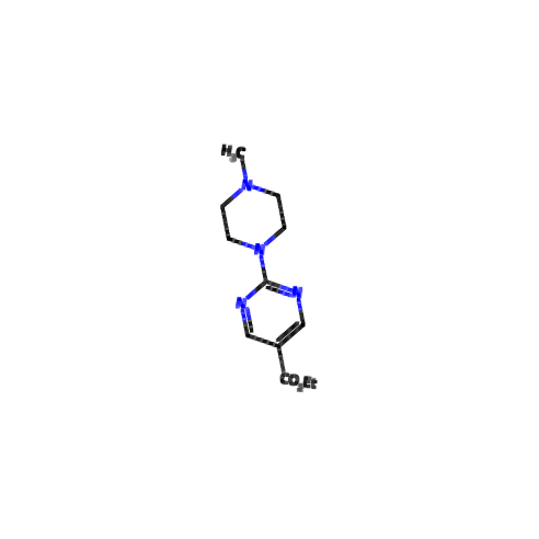 CCOC(=O)c1cnc(N2CCN(C)CC2)nc1